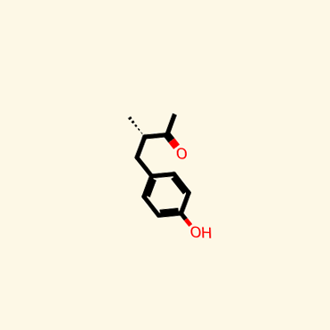 CC(=O)[C@@H](C)Cc1ccc(O)cc1